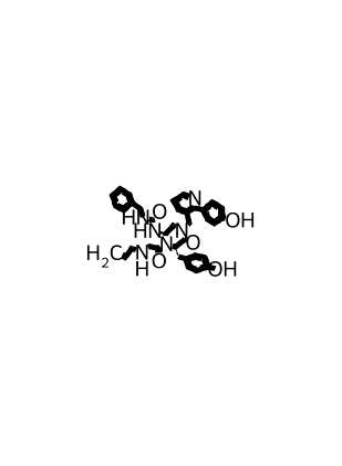 C=CCNCC(=O)N1[C@@H](NC(=O)NCc2ccccc2)CN(Cc2cccnc2-c2ccc(O)cc2)C(=O)[C@@H]1Cc1ccc(O)cc1